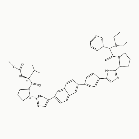 CCN(CC)C(C(=O)N1CCCC1c1ncc(-c2ccc(-c3ccc4cc(-c5cnc([C@@H]6CCCN6C(=O)[C@@H](NC(=O)OC)C(C)C)[nH]5)ccc4c3)cc2)[nH]1)c1ccccc1